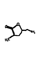 CC1CC(C[SiH3])OC1=O